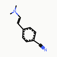 CN(C)C=Cc1ccc(C#N)cc1